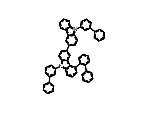 c1ccc(-c2cccc(-n3c4ccccc4c4cc(-c5ccc6c(c5)c5c(-c7ccccc7-c7ccccc7)cccc5n6-c5cccc(-c6ccccc6)c5)ccc43)c2)cc1